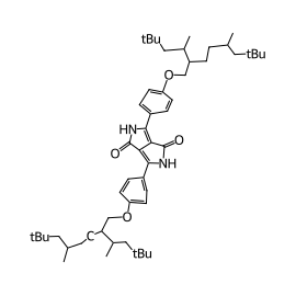 CC(CCC(COc1ccc(C2=C3C(=O)NC(c4ccc(OCC(CCC(C)CC(C)(C)C)C(C)CC(C)(C)C)cc4)=C3C(=O)N2)cc1)C(C)CC(C)(C)C)CC(C)(C)C